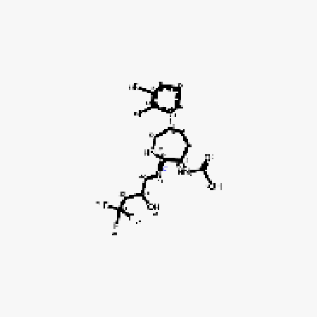 O=C(O)N[C@@H]1CC[C@@H](c2cccc(F)c2F)CN/C1=N\CC(O)CC(F)(F)F